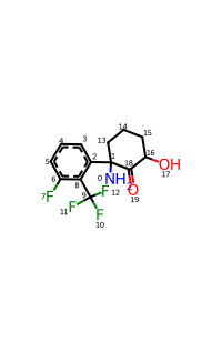 NC1(c2cccc(F)c2C(F)(F)F)CCCC(O)C1=O